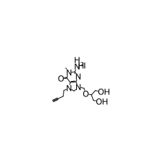 C#CCCN1CN(COC(CO)CO)c2nc(N)n(C)c(=O)c21.I